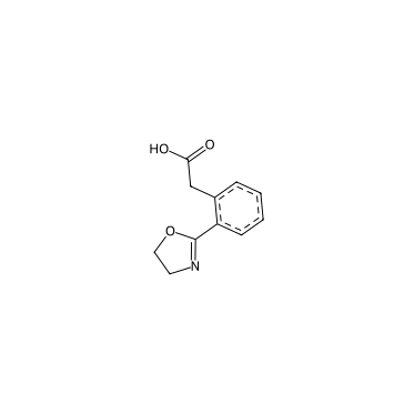 O=C(O)Cc1ccccc1C1=NCCO1